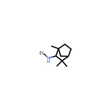 CCNC1C2(C)CCC(C2)C1(C)C